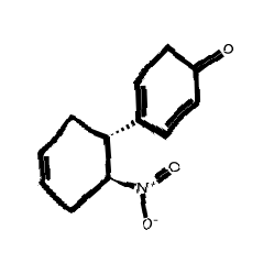 O=C1C=CC([C@H]2CC=CC[C@@H]2[N+](=O)[O-])=CC1